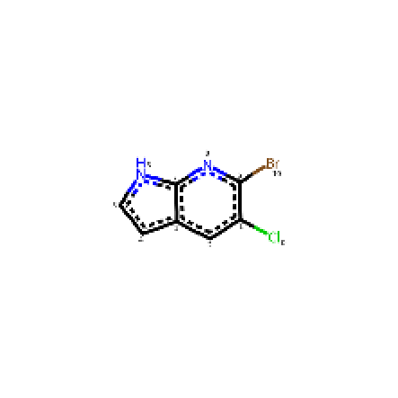 Clc1cc2cc[nH]c2nc1Br